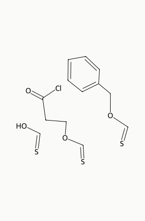 O=C(Cl)CCOC=S.OC=S.S=COCc1ccccc1